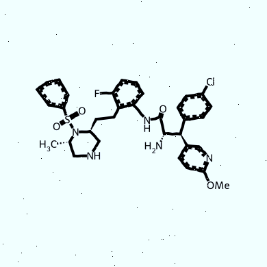 COc1ccc([C@H](c2ccc(Cl)cc2)[C@H](N)C(=O)Nc2cccc(F)c2CC[C@H]2CNC[C@H](C)N2S(=O)(=O)c2ccccc2)cn1